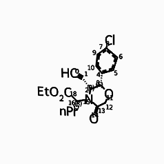 C#C[C@@H]1[C@H](c2ccc(Cl)cc2)OCC(=O)N1[C@H](CCC)C(=O)OCC